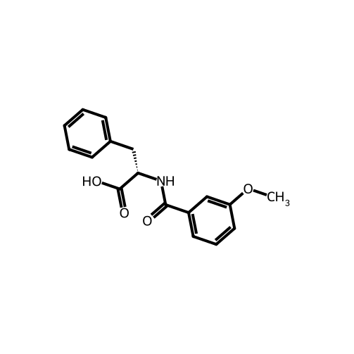 COc1cccc(C(=O)N[C@@H](Cc2ccccc2)C(=O)O)c1